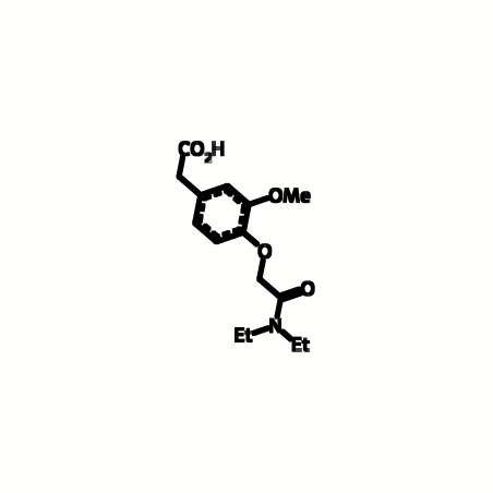 CCN(CC)C(=O)COc1ccc(CC(=O)O)cc1OC